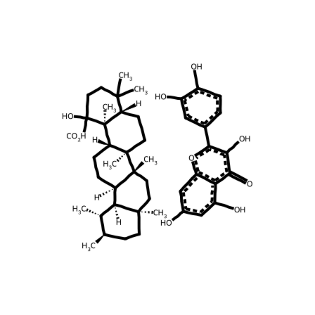 C[C@@H]1[C@H]2[C@H]3CC[C@@H]4[C@]5(C)[C@@H](CC[C@@]4(C)[C@]3(C)CC[C@@]2(C)CC[C@H]1C)C(C)(C)CCC5(O)C(=O)O.O=c1c(O)c(-c2ccc(O)c(O)c2)oc2cc(O)cc(O)c12